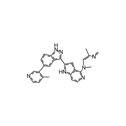 C=N/C(C)=C\N(C)c1nccc2[nH]c(-c3n[nH]c4ccc(-c5cnccc5C)cc34)cc12